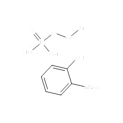 CCCCCCCCCc1ccccc1O.CCOOP(=O)(O)O